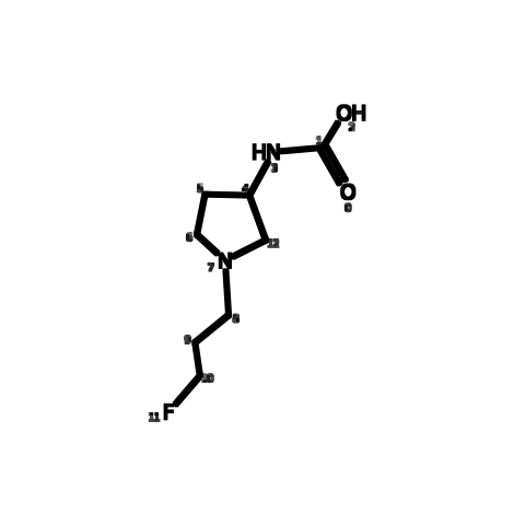 O=C(O)NC1CCN(CCCF)C1